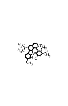 Cc1ccc2c3c(C(C)C)cc4cc[n+](C)c5c6c(C)c(C)cc(C)c6n(c2c1)c3c45